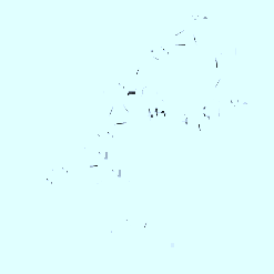 COc1cc(NC(=O)[C@H](CCCNC(N)=O)NC(=O)[C@@H](N[C@H](C=O)CCCC(C)(C)OC(=O)C(CBr)CBr)C(C)C)ccc1C(=O)N(C)[C@@H](C)C(=O)O[C@H]1CC(=O)N(C)c2cc(cc(OC)c2Cl)C/C(C)=C/C=C/[C@@H](OC)[C@@]2(O)C[C@H](OC(=O)N2)[C@@H](C)[C@@H]2O[C@@]12C